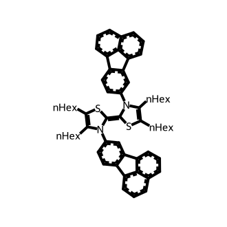 CCCCCCC1=C(CCCCCC)N(c2ccc3c(c2)-c2cccc4cccc-3c24)/C(=C2\SC(CCCCCC)=C(CCCCCC)N2c2ccc3c(c2)-c2cccc4cccc-3c24)S1